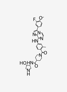 COc1ccc(-c2cnc3c(Nc4ccc(C(=O)N5CCC(C(=O)N[C@@H]6CNC[C@H]6O)CC5)c(C)c4)nccn23)cc1F